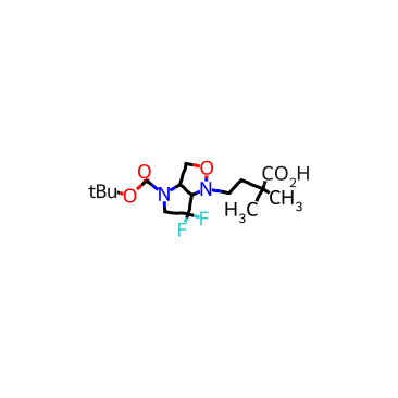 CC(C)(C)OC(=O)N1CC(F)(F)C2C1CON2CCC(C)(C)C(=O)O